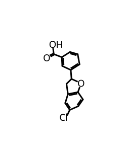 O=C(O)c1cccc(C2Cc3cc(Cl)ccc3O2)c1